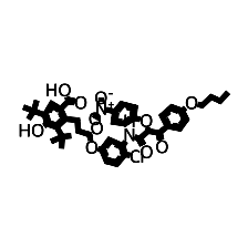 CCCCOc1ccc(C(=O)C(Oc2ccc([N+](=O)[O-])cc2)C(=O)Nc2cc(OC(=O)CCc3c(C(=O)O)cc(C(C)(C)C)c(O)c3C(C)(C)C)ccc2Cl)cc1